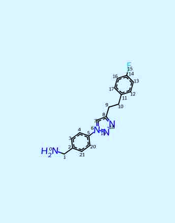 NCc1ccc(-n2cc(CCc3ccc(F)cc3)nn2)cc1